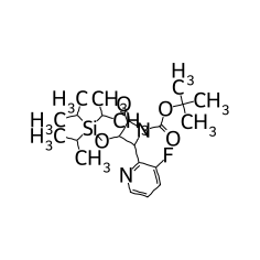 CC(C)[Si](OC1C(=O)N(C(=O)OC(C)(C)C)C1c1ncccc1F)(C(C)C)C(C)C